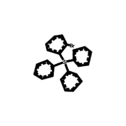 Brc1ccccc1[Si](c1ccccc1)(c1ccccc1)c1ccccc1